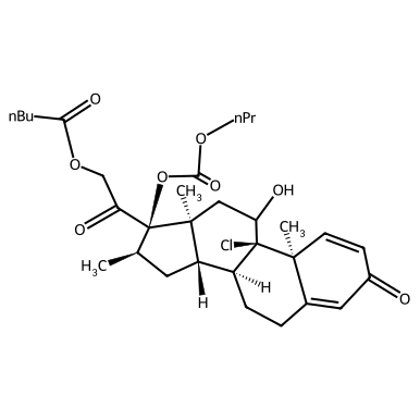 CCCCC(=O)OCC(=O)[C@@]1(OC(=O)OCCC)[C@H](C)C[C@H]2[C@@H]3CCC4=CC(=O)C=C[C@]4(C)[C@@]3(Cl)C(O)C[C@@]21C